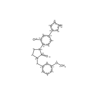 COc1cccc(CN2CCN(c3ccc(-c4cn[nH]c4)cc3Cl)C2=O)c1